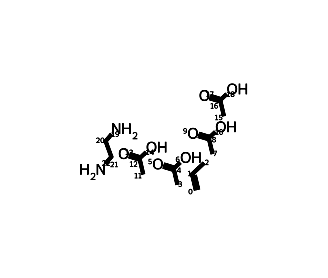 C=CC.CC(=O)O.CC(=O)O.CC(=O)O.CC(=O)O.NCCN